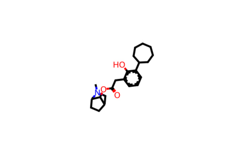 CN1CC2CCC1C2OC(=O)Cc1cccc(C2CCCCCC2)c1O